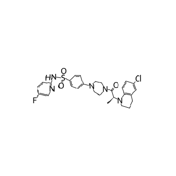 C[C@@H](C(=O)N1CCN(c2ccc(S(=O)(=O)Nc3ccc(F)cn3)cc2)CC1)N1CCCc2cc(Cl)ccc21